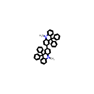 C[N+]1=C2C=CC(C3C=CC4=[N+](C)c5ccccc5C(c5ccccc5)(c5ccccc5)C4=C3)C=C2C(c2ccccc2)(c2ccccc2)c2ccccc21